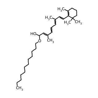 CCCCCCCCCCCCOC(O)C=C(C)C=CC=C(C)C=CC1=C(C)CCCC1(C)C